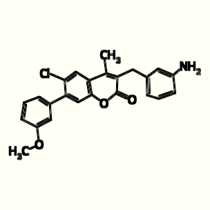 COc1cccc(-c2cc3oc(=O)c(Cc4cccc(N)c4)c(C)c3cc2Cl)c1